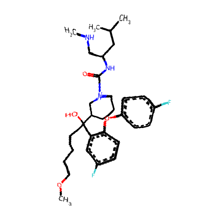 CNCC(CC(C)C)NC(=O)N1CCCC(C(O)(CCCCOC)c2cc(F)ccc2Oc2ccc(F)cc2)C1